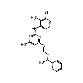 Cc1c(Cl)cccc1Nc1nc(O)cc(OCCC(O)c2ccccc2)n1